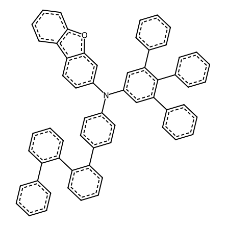 c1ccc(-c2ccccc2-c2ccccc2-c2ccc(N(c3cc(-c4ccccc4)c(-c4ccccc4)c(-c4ccccc4)c3)c3ccc4c(c3)oc3ccccc34)cc2)cc1